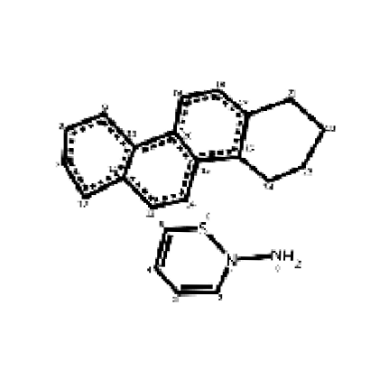 NN1C=CC=CS1.c1ccc2c(c1)ccc1c3c(ccc12)CCCC3